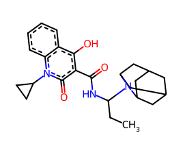 CCC(NC(=O)c1c(O)c2ccccc2n(C2CC2)c1=O)N1C2CC3CC(C2)CC1C3